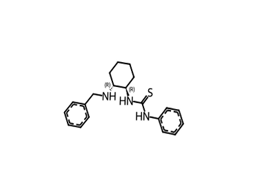 S=C(Nc1ccccc1)N[C@@H]1CCCC[C@H]1NCc1ccccc1